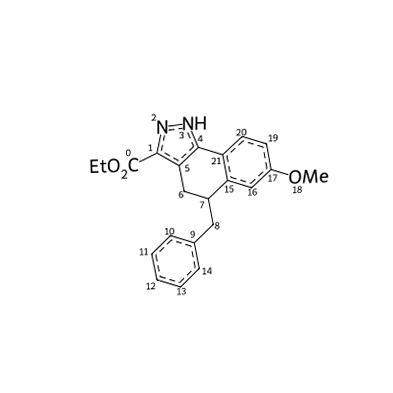 CCOC(=O)c1n[nH]c2c1CC(Cc1ccccc1)c1cc(OC)ccc1-2